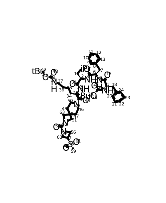 CC(C)C[C@@H](NC(=O)[C@@H](Cc1ccccc1)NC(=O)[C@@H](Cc1ccccc1)NC(=O)OC(C)(C)C)C(=O)N[C@H](CCCCNC(=O)OC(C)(C)C)C(=O)N1CCC2(CC1)CN(C(=O)N1CC(S(C)(=O)=O)C1)C2